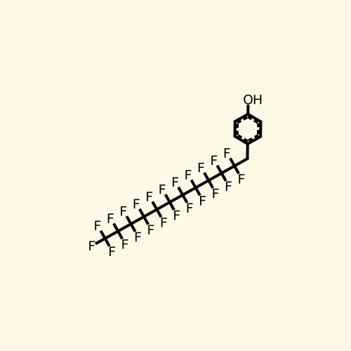 Oc1ccc(CC(F)(F)C(F)(F)C(F)(F)C(F)(F)C(F)(F)C(F)(F)C(F)(F)C(F)(F)C(F)(F)C(F)(F)C(F)(F)F)cc1